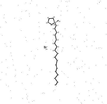 CCCCCCCCCCCCCCCCCC[N+]1(C)CCCC1.[Br-]